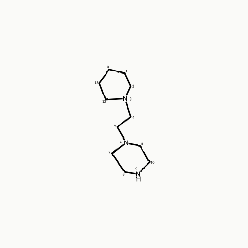 C1CCN(CCN2CCNCC2)CC1